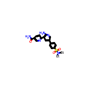 CCN(CC)S(=O)(=O)c1ccc(-c2cnc(N)c(-c3ccc(C(N)=O)cn3)c2)cc1